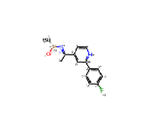 C/C(=N\[S@+]([O-])C(C)(C)C)c1ccnc(-c2ccc(F)cc2)c1